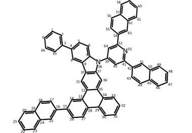 c1ccc(-c2ccc3c(c2)c2cc4c5cc(-c6ccc7ccccc7c6)ccc5c5ccccc5c4cc2n3-c2cc(-c3ccc4ccccc4c3)nc(-c3ccc4ccccc4c3)c2)cc1